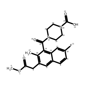 COC(=O)Cc1cc2ccc(F)cc2c(C(=O)N2CCN(C(=O)O)CC2)c1C